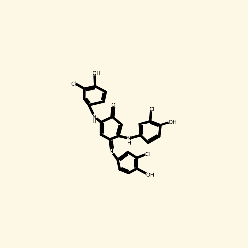 O=C1C=C(Nc2ccc(O)c(Cl)c2)/C(=N\c2ccc(O)c(Cl)c2)C=C1Nc1ccc(O)c(Cl)c1